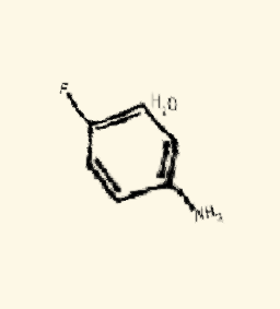 Nc1ccc(F)cc1.O